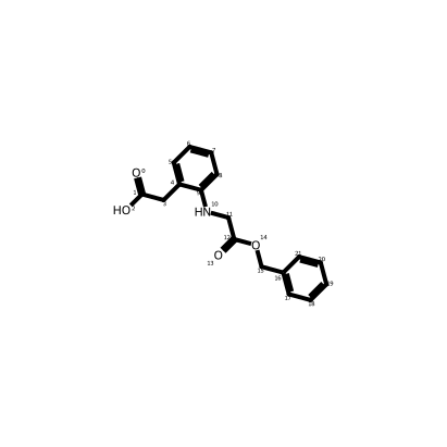 O=C(O)Cc1ccccc1NCC(=O)OCc1ccccc1